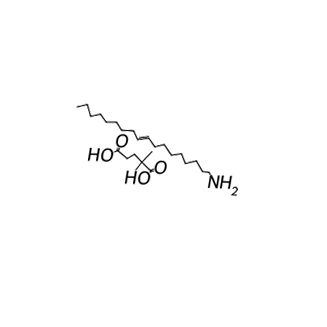 CC(C)(CCC(=O)O)C(=O)O.CCCCCCCCC=CCCCCCCCCN